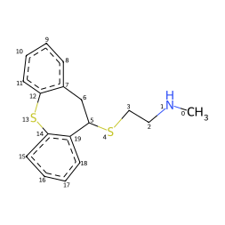 CNCCSC1Cc2ccccc2Sc2ccccc21